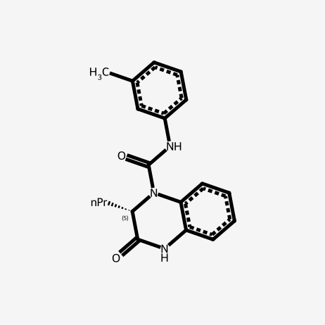 CCC[C@H]1C(=O)Nc2ccccc2N1C(=O)Nc1cccc(C)c1